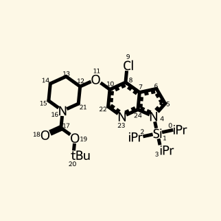 CC(C)[Si](C(C)C)(C(C)C)n1ccc2c(Cl)c(OC3CCCN(C(=O)OC(C)(C)C)C3)cnc21